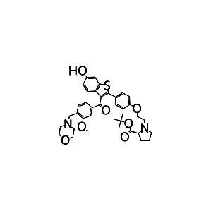 COc1cc(C(=O)c2c(-c3ccc(OCCN4CCC[C@H]4C(=O)OC(C)(C)C)cc3)sc3cc(O)ccc23)ccc1CN1CCOCC1